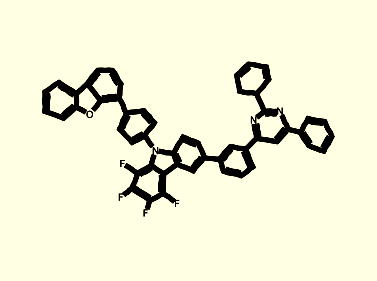 Fc1c(F)c(F)c2c(c1F)c1cc(-c3cccc(-c4cc(-c5ccccc5)nc(C5C=CC=CC5)n4)c3)ccc1n2-c1ccc(-c2cccc3c2oc2ccccc23)cc1